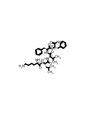 CC(C)C[C@H](NC(=O)[C@@H](N)CCCCN)C(=O)N[C@H](C(=O)N[C@@H](Cc1ccccc1)C(=O)N[C@@H](Cc1ccccc1)C(N)=O)C(C)C